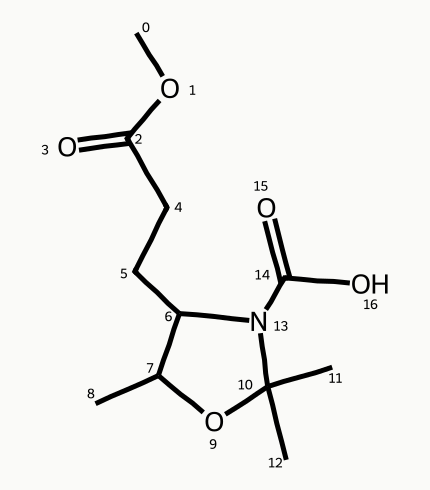 COC(=O)CCC1C(C)OC(C)(C)N1C(=O)O